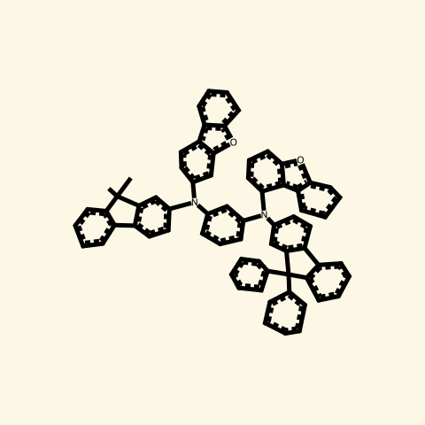 CC1(C)c2ccccc2-c2ccc(N(c3cccc(N(c4ccc5c(c4)C(c4ccccc4)(c4ccccc4)c4ccccc4-5)c4cccc5oc6ccccc6c45)c3)c3ccc4c(c3)oc3ccccc34)cc21